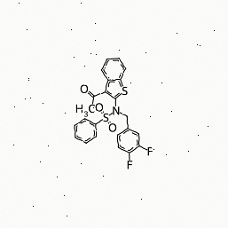 CC(=O)c1c(N(Cc2ccc(F)c(F)c2)S(=O)(=O)c2ccccc2)sc2ccccc12